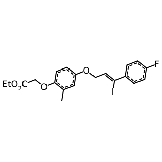 CCOC(=O)COc1ccc(OC/C=C(\I)c2ccc(F)cc2)cc1C